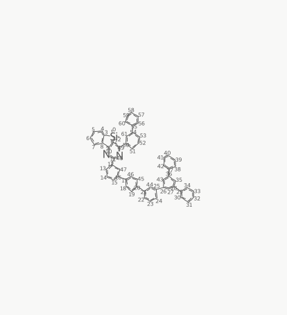 C[Si]1(C)c2ccccc2-c2nc(-c3cccc(-c4ccc(-c5cccc(-c6cc(-c7ccccc7)cc(-c7ccccc7)c6)c5)cc4)c3)nc(-c3cccc(-c4ccccc4)c3)c21